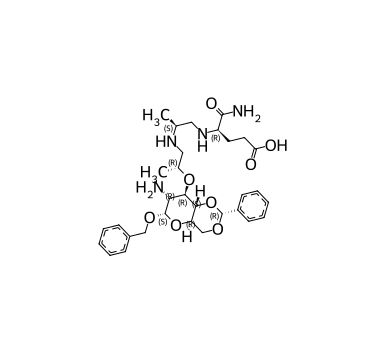 C[C@H](CN[C@@H](C)CN[C@H](CCC(=O)O)C(N)=O)O[C@@H]1[C@@H](N)[C@@H](OCc2ccccc2)O[C@@H]2CO[C@@H](c3ccccc3)O[C@@H]12